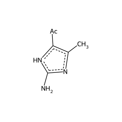 CC(=O)c1[nH]c(N)nc1C